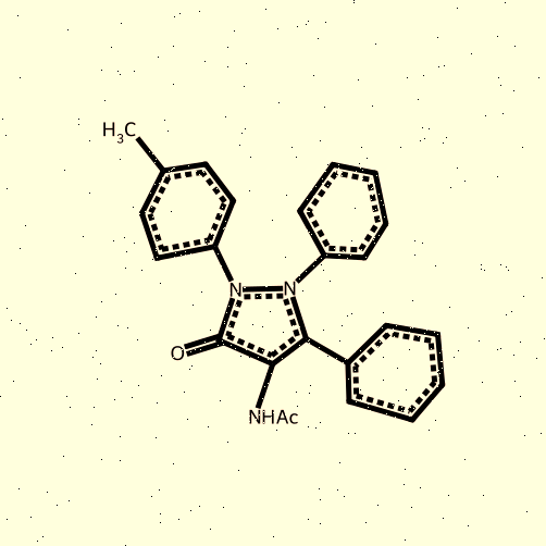 CC(=O)Nc1c(-c2ccccc2)n(-c2ccccc2)n(-c2ccc(C)cc2)c1=O